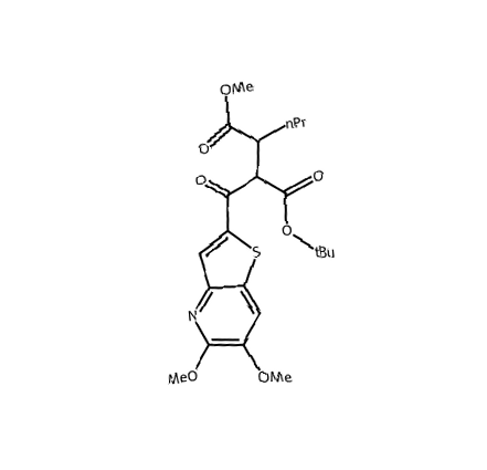 CCCC(C(=O)OC)C(C(=O)OC(C)(C)C)C(=O)c1cc2nc(OC)c(OC)cc2s1